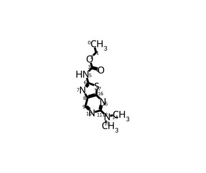 CCOC(=O)Nc1nc2cnc(N(C)C)nc2s1